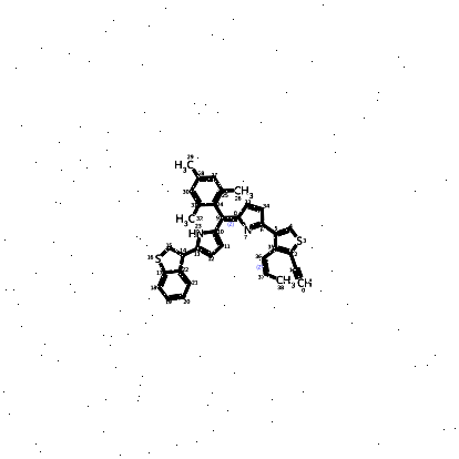 C#Cc1scc(C2=N/C(=C(\c3ccc(C4CSc5ccccc54)[nH]3)c3c(C)cc(C)cc3C)C=C2)c1/C=C\C